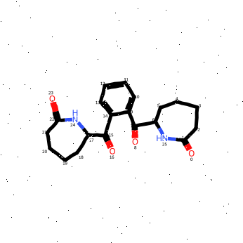 O=C1CCCCC(C(=O)c2ccccc2C(=O)C2CCCCC(=O)N2)N1